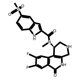 CN(C(=O)c1cc2cc(S(C)(=O)=O)ccc2[nH]1)[C@H]1CNCc2[nH]c(=O)c3cc(F)c(F)cc3c21